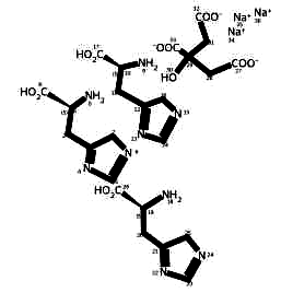 N[C@@H](CC1=NC=NC1)C(=O)O.N[C@@H](CC1=NC=NC1)C(=O)O.N[C@@H](CC1=NC=NC1)C(=O)O.O=C([O-])CC(O)(CC(=O)[O-])C(=O)[O-].[Na+].[Na+].[Na+]